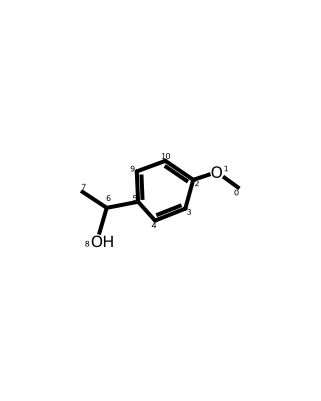 COc1ccc(C(C)O)cc1